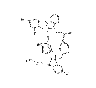 CC1(Cc2ccc(Br)cc2F)C(/C=C/C(C#N)=C/C=C2/N(CCOC=O)c3ccc(Cl)cc3C2(Cc2ccccc2)Cc2ccccc2)=[N+](CCC(=O)O)c2ccccc21